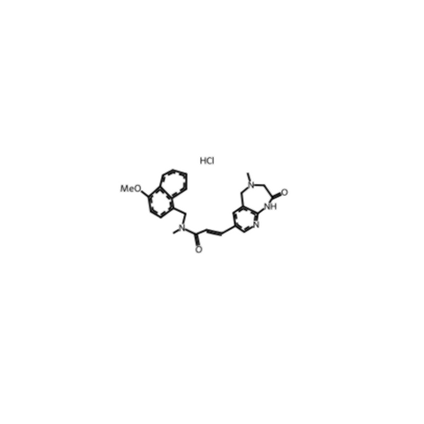 COc1ccc(CN(C)C(=O)C=Cc2cnc3c(c2)CN(C)CC(=O)N3)c2ccccc12.Cl